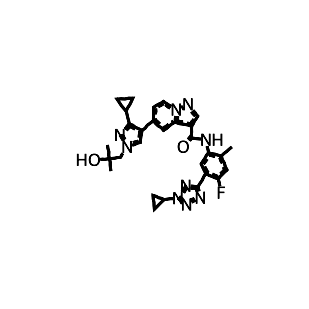 Cc1cc(F)c(-c2nnn(C3CC3)n2)cc1NC(=O)c1cnn2ccc(-c3cn(CC(C)(C)O)nc3C3CC3)cc12